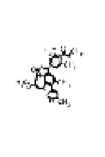 C=CC(=O)N1[C@H](C)CN(c2nc(=O)n3c4c(c(-c5cc(C)ns5)c(C)cc24)SC[C@@H](OC)C3)C[C@@H]1C